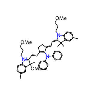 COCCCN1/C(=C/C=C2\CCC(/C=C/C3=[N+](CCCOC)c4ccc(C)cc4C3(C)OC)=C2N(c2ccccc2)c2ccccc2)C(C)(C)c2cc(C)ccc21